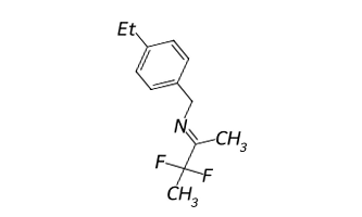 CCc1ccc(C/N=C(\C)C(C)(F)F)cc1